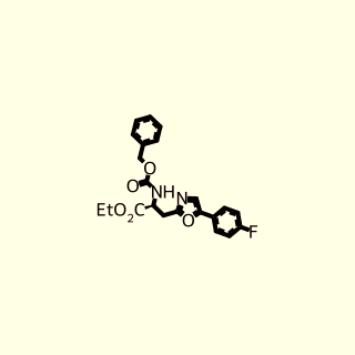 CCOC(=O)[C@H](Cc1ncc(-c2ccc(F)cc2)o1)NC(=O)OCc1ccccc1